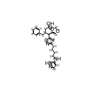 O=C(O)CC(Cc1ccccc1)C(C1=COCO1)c1nc(CCCCNc2ccn[nH]2)no1